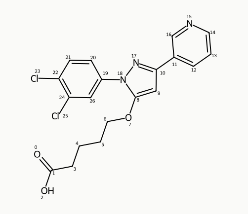 O=C(O)CCCCOc1cc(-c2cccnc2)nn1-c1ccc(Cl)c(Cl)c1